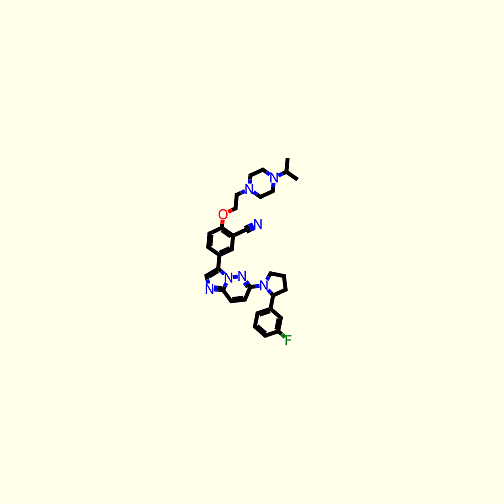 CC(C)N1CCN(CCOc2ccc(-c3cnc4ccc(N5CCCC5c5cccc(F)c5)nn34)cc2C#N)CC1